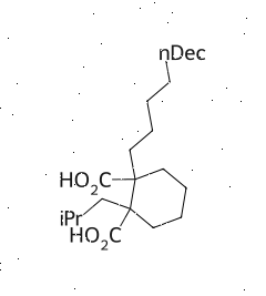 CCCCCCCCCCCCCCC1(C(=O)O)CCCCC1(CC(C)C)C(=O)O